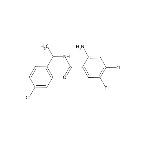 CC(NC(=O)c1cc(F)c(Cl)cc1N)c1ccc(Cl)cc1